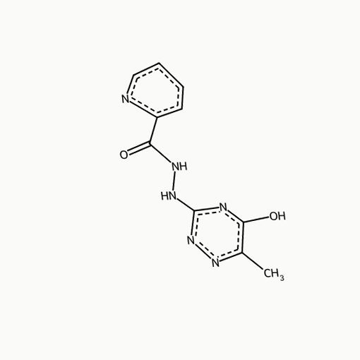 Cc1nnc(NNC(=O)c2ccccn2)nc1O